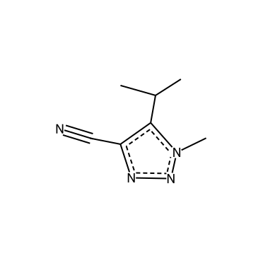 CC(C)c1c(C#N)nnn1C